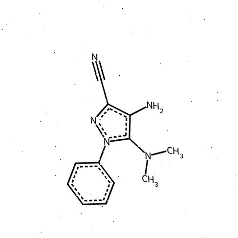 CN(C)c1c(N)c(C#N)nn1-c1ccccc1